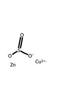 O=S([O-])[O-].[Cu+2].[Zn]